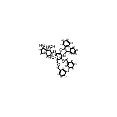 O[C@H]1[C@H](O[C@H]2O[C@H](COCc3ccccc3)[C@@H](OCc3ccccc3)[C@H](OCc3ccccc3)[C@H]2OCc2ccccc2)[C@@H](O)CN2CC[C@H](O)[C@H]12